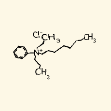 CCCCCCCC[N+](CCC)(CCC)c1ccccc1.[Cl-]